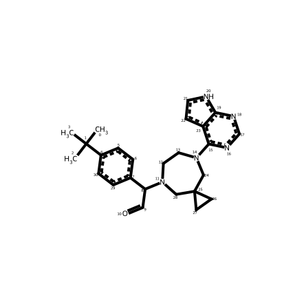 CC(C)(C)c1ccc(C(C=O)N2CCN(c3ncnc4[nH]ccc34)CC3(CC3)C2)cc1